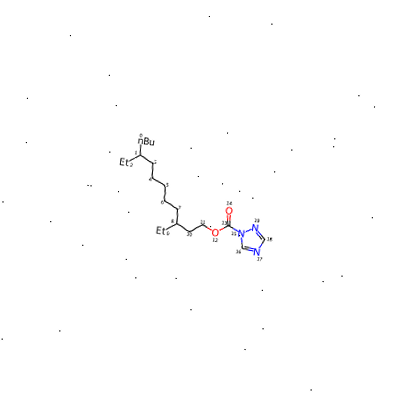 CCCCC(CC)CCCCCC(CC)CCOC(=O)n1cncn1